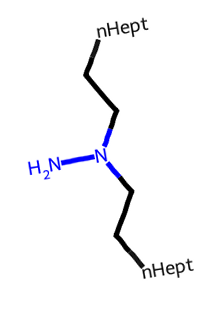 CCCCCCCCCN(N)CCCCCCCCC